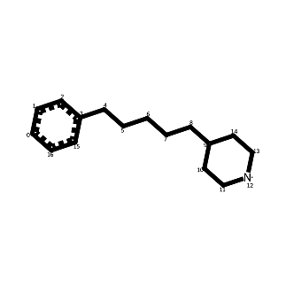 c1ccc(CCCCCC2CC[N]CC2)cc1